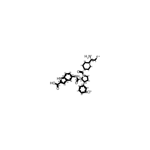 Cl.N[C@H](CF)[C@H]1CC[C@H](C(=O)N2CC[C@@H](c3ccccc3)[C@H]2C(=O)Nc2ccc3[nH]c(C(=O)O)cc3c2)CC1